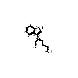 CCCCN(C=O)c1c[nH]c2ccccc12